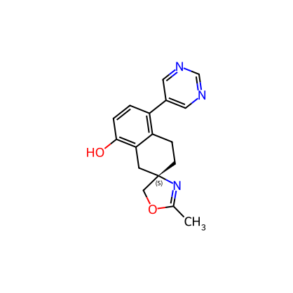 CC1=N[C@]2(CCc3c(-c4cncnc4)ccc(O)c3C2)CO1